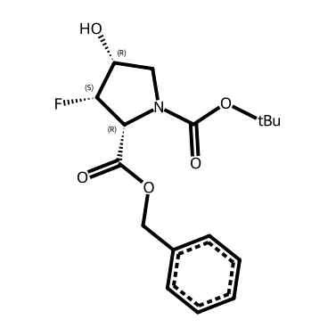 CC(C)(C)OC(=O)N1C[C@@H](O)[C@@H](F)[C@H]1C(=O)OCc1ccccc1